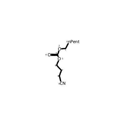 CCCCCCOC(=O)OCCCC#N